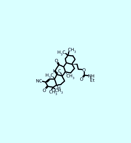 CCNC(=O)OCC[C@]12CCC(C)(C)CC1C1C(=O)C=C3[C@@]4(C)C=C(C#N)C(=O)C(C)(C)[C@@H]4CC[C@@]3(C)[C@]1(C)CC2